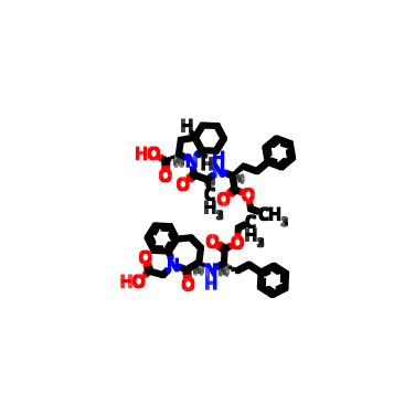 CCOC(=O)[C@H](CCc1ccccc1)N[C@@H](C)C(=O)N1[C@H](C(=O)O)C[C@H]2CCCC[C@@H]21.CCOC(=O)[C@H](CCc1ccccc1)N[C@H]1CCc2ccccc2N(CC(=O)O)C1=O